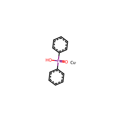 O=P(O)(c1ccccc1)c1ccccc1.[Cu]